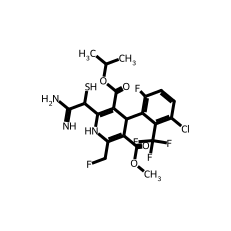 COC(=O)C1=C(CF)NC(C(S)C(=N)N)=C(C(=O)OC(C)C)C1c1c(F)ccc(Cl)c1C(F)(F)F